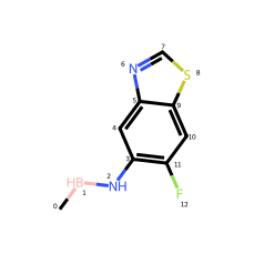 CBNc1cc2ncsc2cc1F